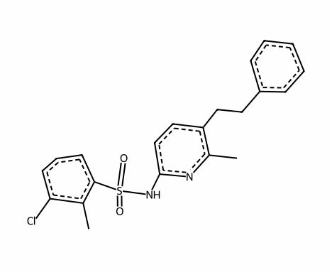 Cc1nc(NS(=O)(=O)c2cccc(Cl)c2C)ccc1CCc1ccccc1